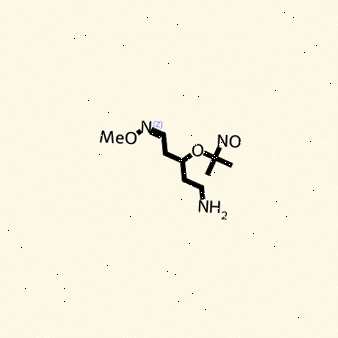 CO/N=C\CC(CCN)OC(C)(C)N=O